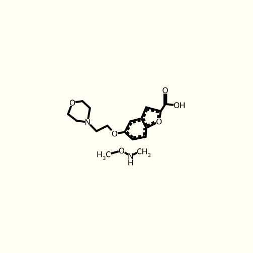 CNOC.O=C(O)c1cc2cc(OCCN3CCOCC3)ccc2o1